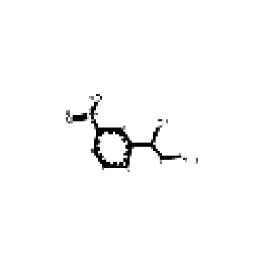 [CH2]CC(Cl)c1cccc([N+](=O)[O-])c1